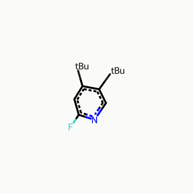 CC(C)(C)c1cnc(F)cc1C(C)(C)C